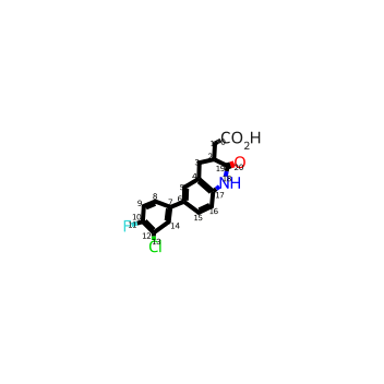 O=C(O)CC1Cc2cc(-c3ccc(F)c(Cl)c3)ccc2NC1=O